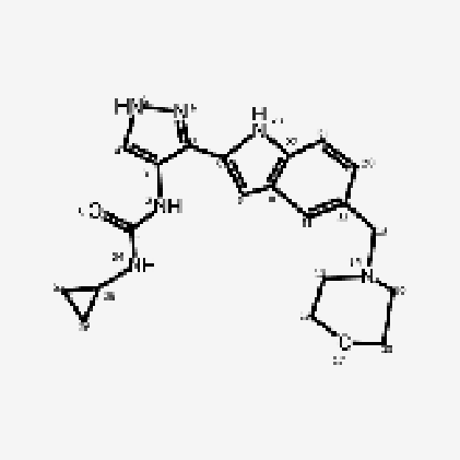 O=C(Nc1c[nH]nc1-c1cc2cc(CN3CCOCC3)ccc2[nH]1)NC1CC1